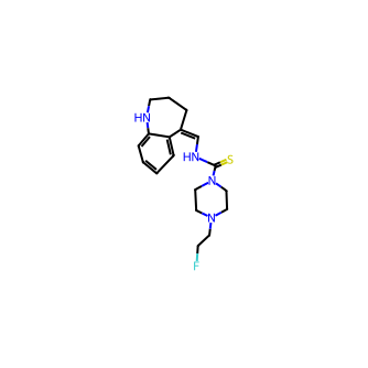 FCCN1CCN(C(=S)N/C=C2/CCCNc3ccccc32)CC1